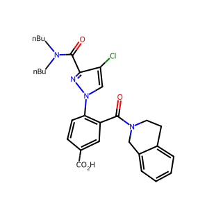 CCCCN(CCCC)C(=O)c1nn(-c2ccc(C(=O)O)cc2C(=O)N2CCc3ccccc3C2)cc1Cl